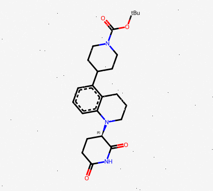 CC(C)(C)OC(=O)N1CCC(c2cccc3c2CCCN3[C@@H]2CCC(=O)NC2=O)CC1